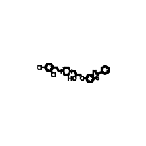 OC(COc1ccc2sc(-c3ccccc3)nc2c1)CN1C[CH]N(CCc2ccc(Cl)cc2Cl)CC1